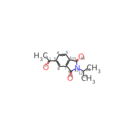 CC(=O)c1ccc2c(c1)C(=O)N(C(C)C)C2=O